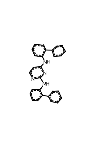 c1ccc(-c2ccccc2Nc2ccnc(Nc3ccccc3-c3ccccc3)n2)cc1